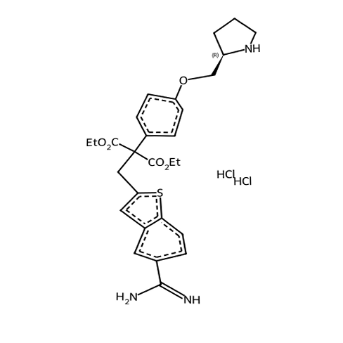 CCOC(=O)C(Cc1cc2cc(C(=N)N)ccc2s1)(C(=O)OCC)c1ccc(OC[C@H]2CCCN2)cc1.Cl.Cl